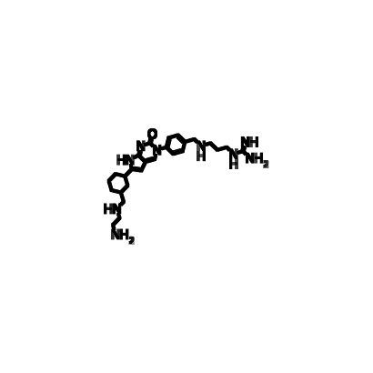 N=C(N)NCCCNCc1ccc(-n2cc3cc(C4CCCC(CNCCN)C4)[nH]c3nc2=O)cc1